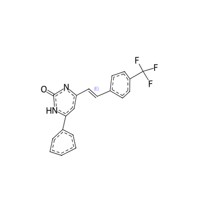 O=c1nc(/C=C/c2ccc(C(F)(F)F)cc2)cc(-c2ccccc2)[nH]1